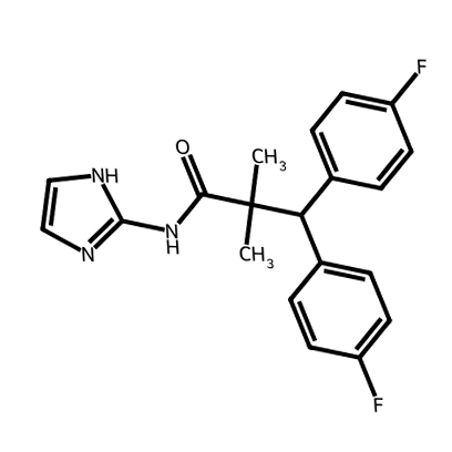 CC(C)(C(=O)Nc1ncc[nH]1)C(c1ccc(F)cc1)c1ccc(F)cc1